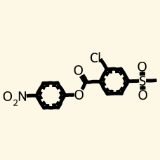 CS(=O)(=O)c1ccc(C(=O)Oc2ccc([N+](=O)[O-])cc2)c(Cl)c1